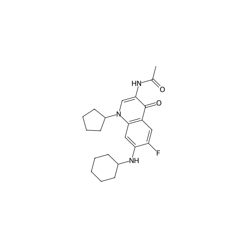 CC(=O)Nc1cn(C2CCCC2)c2cc(NC3CCCCC3)c(F)cc2c1=O